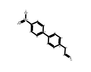 O=[N+]([O-])c1ccc(-c2ccc(CC=S)cc2)cc1